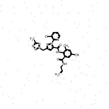 C=CCNC(=O)c1cc(C#N)cc(C)c1NC(=O)c1cc(Cn2nnc(C(F)(F)F)n2)nn1-c1ncccc1Cl